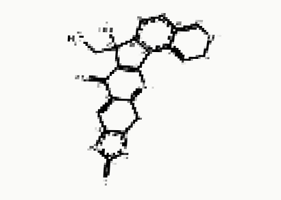 CC[C@@]1(O)C2=C(N=C3Cc4oc(=O)oc4C=C3C2=O)c2c1ccc1c2=CCOC=1